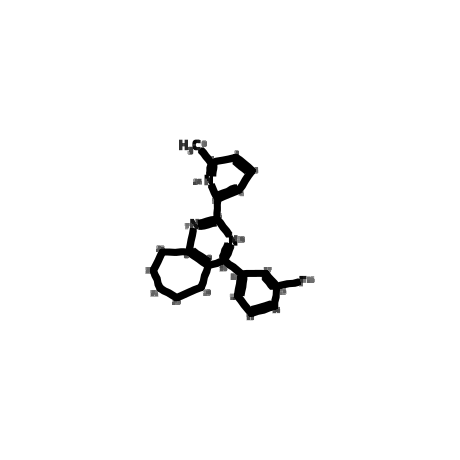 Cc1cccc(-c2nc3c(c(-c4cccc(F)c4)n2)CCCCC3)n1